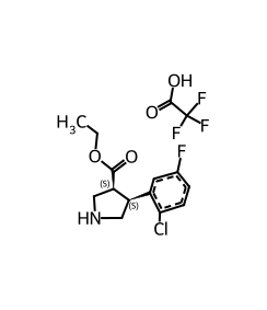 CCOC(=O)[C@@H]1CNC[C@@H]1c1cc(F)ccc1Cl.O=C(O)C(F)(F)F